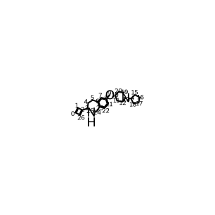 C1=CC(C2CCc3cc(OC4CCN(C5CCCC5)CC4)ccc3CN2)=C1